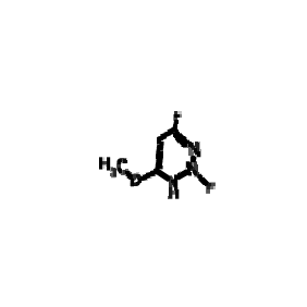 COC1=CC(F)=NN(F)N1